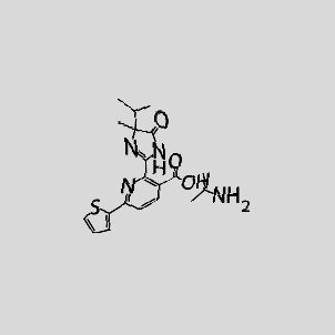 CC(C)C1(C)N=C(c2nc(-c3cccs3)ccc2C(=O)O)NC1=O.CC(C)N